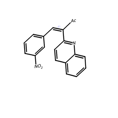 CC(=O)/C(=C/c1cccc([N+](=O)[O-])c1)c1ccc2ccccc2n1